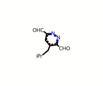 CC(C)Cc1cc(C=O)nnc1C=O